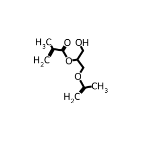 C=C(C)OCC(CO)OC(=O)C(=C)C